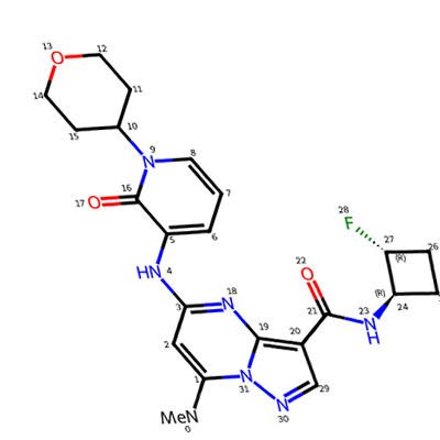 CNc1cc(Nc2cccn(C3CCOCC3)c2=O)nc2c(C(=O)N[C@@H]3CC[C@H]3F)cnn12